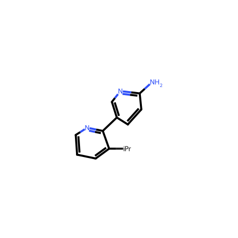 CC(C)c1cccnc1-c1ccc(N)nc1